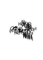 O=c1ccn([C@@H]2O[C@H](COP(=O)(O)OP(=O)(O)OP(=O)(O)OP(=O)(O)O)[C@@H](O)[C@H]2O)c(=O)[nH]1.[NaH].[NaH].[NaH].[NaH]